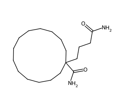 NC(=O)CCCC1(C(N)=O)CCCCCCCCCCCCC1